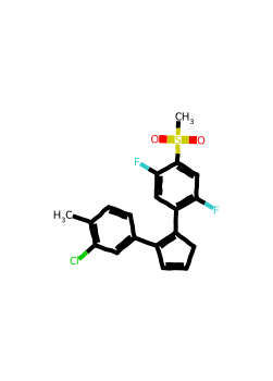 Cc1ccc(C2=C(c3cc(F)c(S(C)(=O)=O)cc3F)CC=C2)cc1Cl